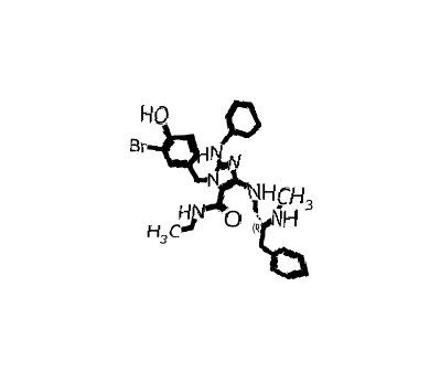 CCNC(=O)c1c(NC[C@@H](Cc2ccccc2)NC)nc(NC2CCCCC2)n1Cc1ccc(O)c(Br)c1